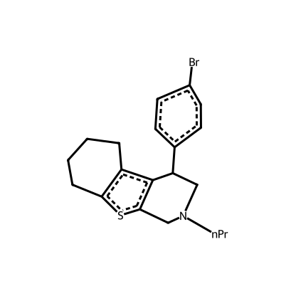 CCCN1Cc2sc3c(c2C(c2ccc(Br)cc2)C1)CCCC3